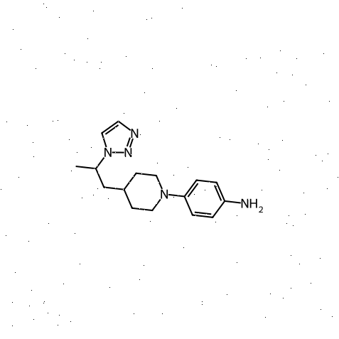 CC(CC1CCN(c2ccc(N)cc2)CC1)n1ccnn1